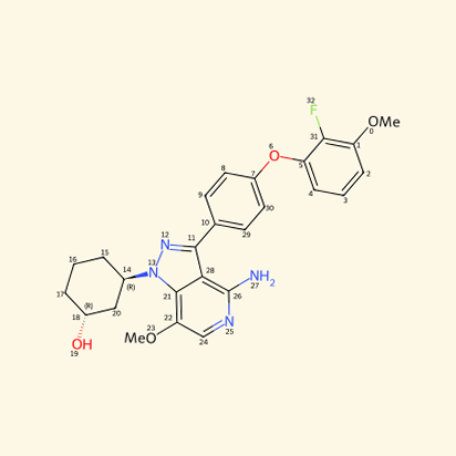 COc1cccc(Oc2ccc(-c3nn([C@@H]4CCC[C@@H](O)C4)c4c(OC)cnc(N)c34)cc2)c1F